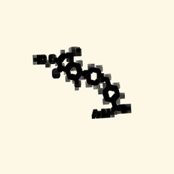 CCn1cc(C(=O)O)c(=O)c2cc(F)c(N3CCN(Cc4ccc(C(=N)NC(C)=O)cc4)CC3)cc21